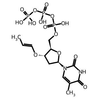 CC=CO[C@H]1C[C@H](n2cc(C)c(=O)[nH]c2=O)O[C@@H]1COP(=O)(O)OP(=O)(O)OP(=O)(O)O